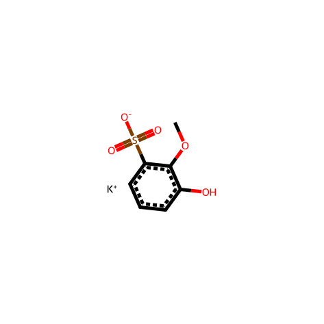 COc1c(O)cccc1S(=O)(=O)[O-].[K+]